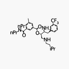 CCCN(CCC)C(=O)c1cc(C)cc(C(=O)O[C@H](CNCCC(C)C)[C@@H](N)Cc2cccc(C(F)(F)F)c2)c1